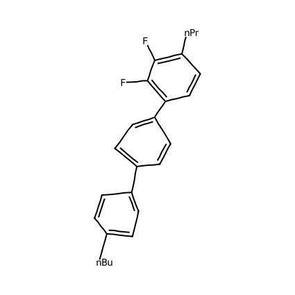 CCCCc1ccc(-c2ccc(-c3ccc(CCC)c(F)c3F)cc2)cc1